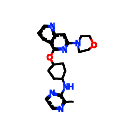 Cc1nccnc1NC1CCC(Oc2nc(N3CCOCC3)cc3ncccc23)CC1